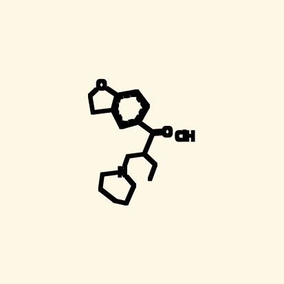 CCC(CN1CCCCC1)C(=O)c1ccc2c(c1)CCO2.Cl